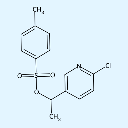 Cc1ccc(S(=O)(=O)OC(C)c2ccc(Cl)nc2)cc1